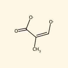 CC(=C[O])C([O])=O